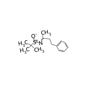 CC(CCc1ccccc1)=N[S@+]([O-])C(C)(C)C